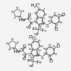 Cc1ccc2c(c1)c(C(=O)C(=O)NC1CCCC1)c(C(F)(F)F)n2Cc1ccc(Cl)cc1Cl.O=C(NC1CCCC1)C(=O)c1c(C(F)(F)F)n(Cc2ccc(Cl)cc2Cl)c2ccc(Cl)cc12